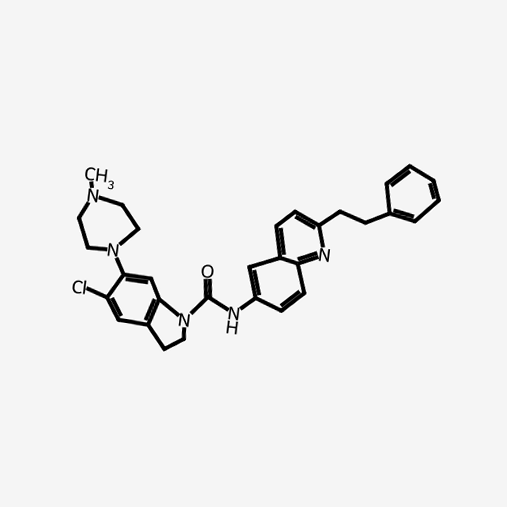 CN1CCN(c2cc3c(cc2Cl)CCN3C(=O)Nc2ccc3nc(CCc4ccccc4)ccc3c2)CC1